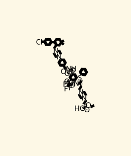 CCOP(=O)(O)CCN1CCN(CC[C@H](CSc2ccccc2)Nc2ccc(S(=O)(=O)NC(=O)c3ccc(N4CCN(CC5=C(c6ccc(Cl)cc6)CCC(C)(C)C5)CC4)cc3)cc2S(=O)(=O)C(F)(F)F)CC1